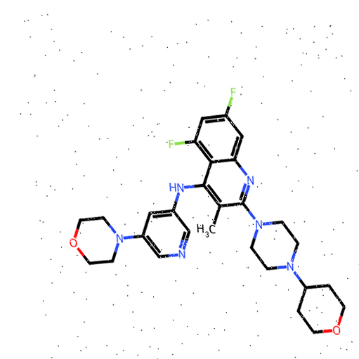 Cc1c(N2CCN(C3CCOCC3)CC2)nc2cc(F)cc(F)c2c1Nc1cncc(N2CCOCC2)c1